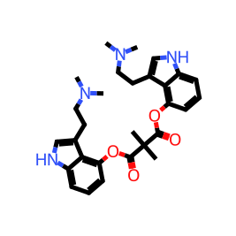 CN(C)CCc1c[nH]c2cccc(OC(=O)C(C)(C)C(=O)Oc3cccc4[nH]cc(CCN(C)C)c34)c12